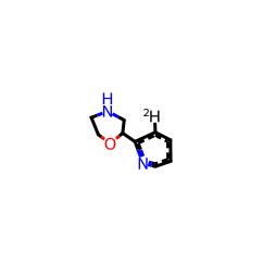 [2H]c1cccnc1C1CNCCO1